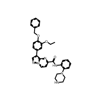 CCOc1cc(-c2cnn3ccc(C(=O)Nc4ccccc4N4CCNCC4)nc23)ccc1OCc1ccccc1